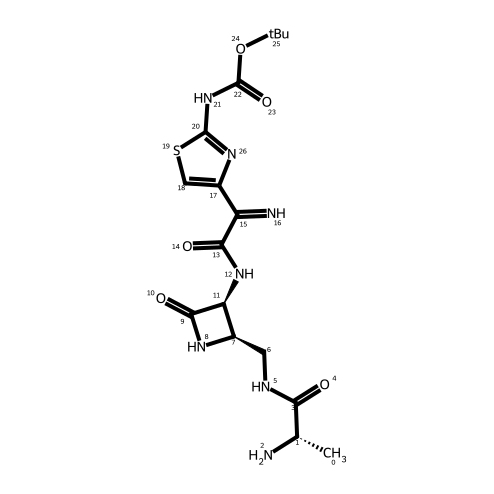 C[C@H](N)C(=O)NC[C@H]1NC(=O)[C@H]1NC(=O)C(=N)c1csc(NC(=O)OC(C)(C)C)n1